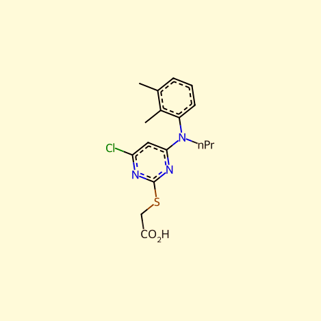 CCCN(c1cc(Cl)nc(SCC(=O)O)n1)c1cccc(C)c1C